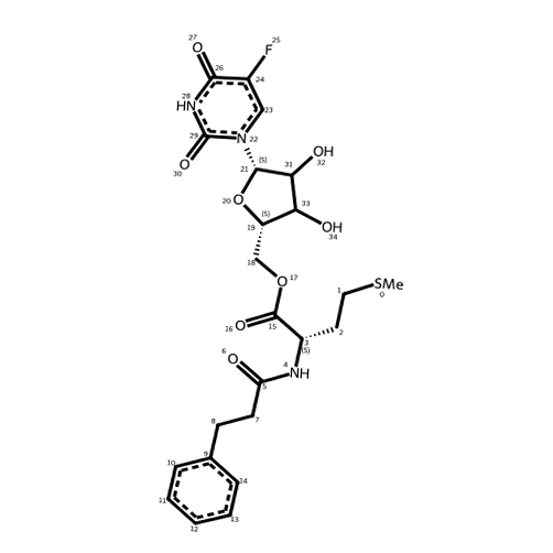 CSCC[C@H](NC(=O)CCc1ccccc1)C(=O)OC[C@@H]1O[C@H](n2cc(F)c(=O)[nH]c2=O)C(O)C1O